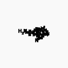 CCN1C(=O)N(c2c(F)cc(N3CC(CN)C3)cc2F)c2cc(C#N)ccc2-c2cc(F)cnc21